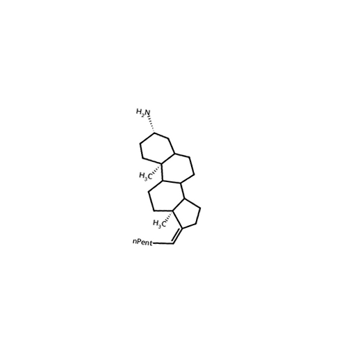 CCCCC/C=C1/CCC2C3CCC4C[C@@H](N)CC[C@]4(C)C3CC[C@]12C